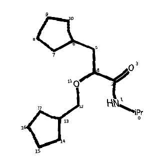 CC(C)NC(=O)C(CC1CCCC1)OCC1CCCC1